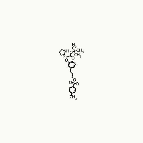 Cc1ccc(S(=O)(=O)OCCCc2cncc(OC(C(=O)OC(C)(C)C)[C@@H]3CCCN3)c2)cc1